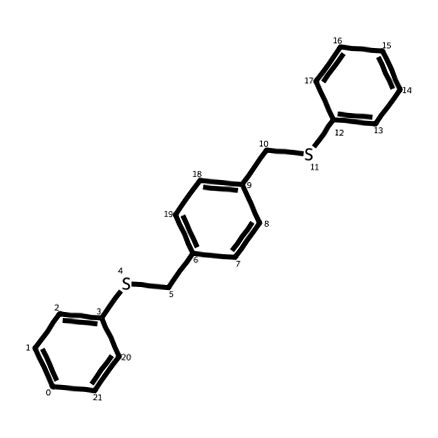 c1ccc(SCc2ccc(CSc3ccccc3)cc2)cc1